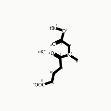 CN(CC(=O)OC(C)(C)C)C(=O)CCCC(=O)[O-].[K+]